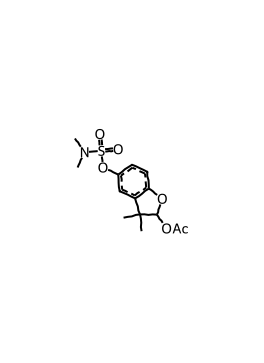 CC(=O)OC1Oc2ccc(OS(=O)(=O)N(C)C)cc2C1(C)C